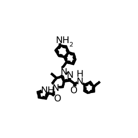 Cc1cccc(NC(=O)c2nn(Cc3cccc4cc(N)ccc34)c3c2CN(C(=O)c2ccc[nH]2)CC3C)c1